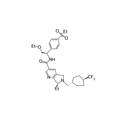 CCOC[C@H](NC(=O)c1cnc2c(c1)CN(C[C@H]1CC[C@H](C(F)(F)F)CC1)[C@H]2CC)c1ccc(S(=O)(=O)CC)cc1